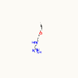 CC#CCCOCCCCNCCc1nc[nH]n1